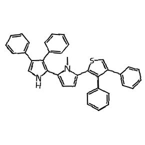 Cn1c(-c2[nH]cc(-c3ccccc3)c2-c2ccccc2)ccc1-c1scc(-c2ccccc2)c1-c1ccccc1